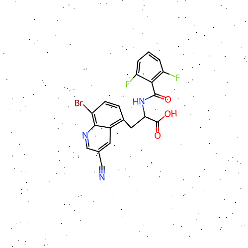 N#Cc1cnc2c(Br)ccc(CC(NC(=O)c3c(F)cccc3F)C(=O)O)c2c1